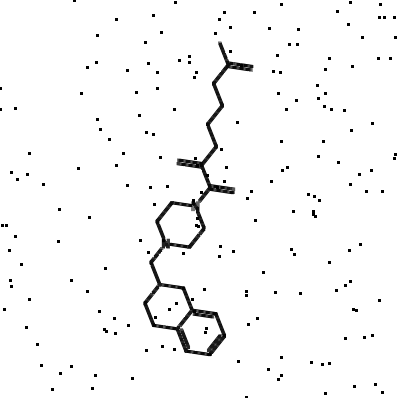 C=C(C)CCCCC(=C)C(=C)N1CCN(CC2CCc3ccccc3C2)CC1